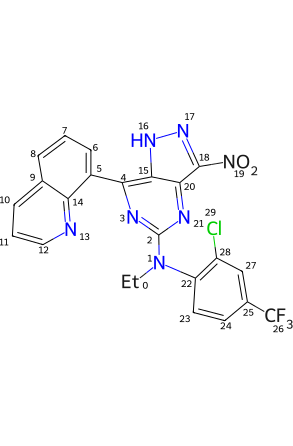 CCN(c1nc(-c2cccc3cccnc23)c2[nH]nc([N+](=O)[O-])c2n1)c1ccc(C(F)(F)F)cc1Cl